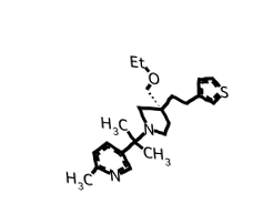 CCOC[C@]1(CCc2ccsc2)CCN(C(C)(C)c2ccc(C)nc2)C1